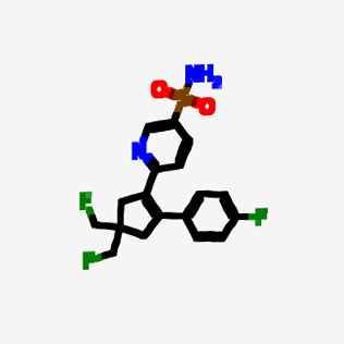 NS(=O)(=O)c1ccc(C2=C(c3ccc(F)cc3)CC(CF)(CF)C2)nc1